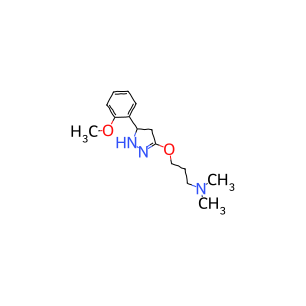 COc1ccccc1C1CC(OCCCN(C)C)=NN1